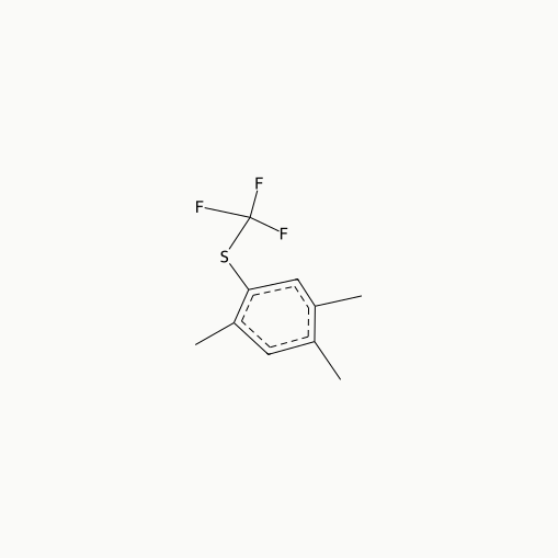 Cc1cc(C)c(SC(F)(F)F)cc1C